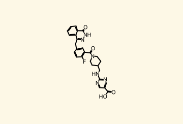 O=C(O)c1cnc(NCC2CCN(C(=O)c3cc(Cc4n[nH]c(=O)c5ccccc45)ccc3F)CC2)nc1